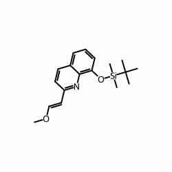 COC=Cc1ccc2cccc(O[Si](C)(C)C(C)(C)C)c2n1